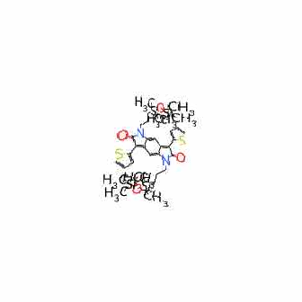 C[Si](C)(C)O[Si](C)(C)CCCN1C(=O)C(c2cccs2)=c2cc3c(cc21)=C(c1cccs1)C(=O)N3CCC[Si](C)(C)O[Si](C)(C)C